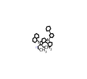 C=Cc1c(/C=C\C)n(-c2cccc3ccccc23)c2ccc3c(c4ccccc4n3-c3cccc(-c4ccccc4)c3)c12